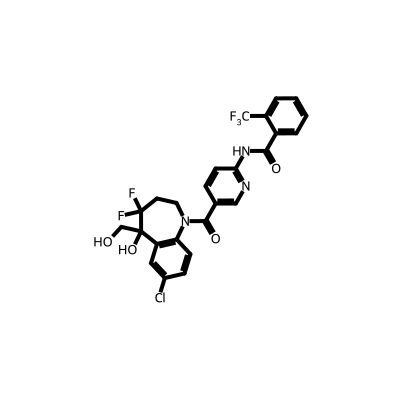 O=C(Nc1ccc(C(=O)N2CCC(F)(F)C(O)(CO)c3cc(Cl)ccc32)cn1)c1ccccc1C(F)(F)F